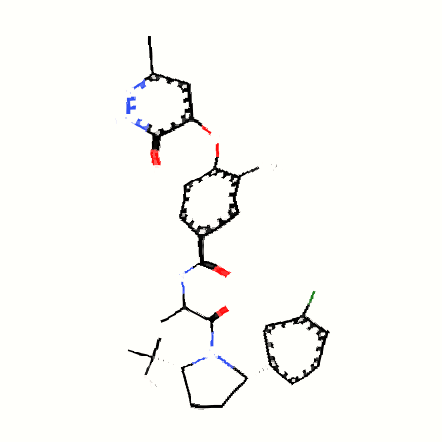 COc1cc(C(=O)NC(C)C(=O)N2[C@H](c3cccc(Cl)c3)CC[C@@H]2C(C)(C)C#N)ccc1Oc1cc(C)n[nH]c1=O